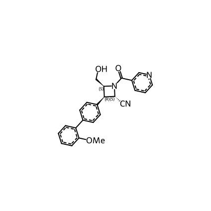 COc1ccccc1-c1ccc([C@@H]2[C@@H](C#N)N(C(=O)c3cccnc3)[C@@H]2CO)cc1